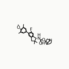 COc1c(C)cc(-c2cc3c(cc2F)[C@H](NC(=O)O[C@H]2CN4CCC2CC4)C(C)(C)C3)cc1C